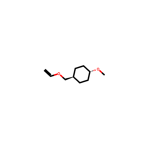 C=COC[C@H]1CC[C@H](OC)CC1